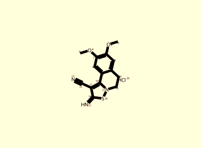 COc1cc2c(cc1OC)-c1c(C#N)c(=N)sn1CC2.Cl